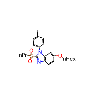 CCCCCCOc1ccc2nc(S(=O)(=O)CCC)n(-c3ccc(C)cc3)c2c1